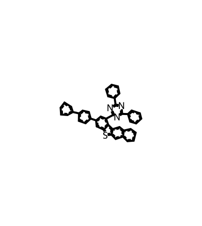 c1ccc(-c2ccc(-c3cc(-c4nc(-c5ccccc5)nc(-c5ccccc5)n4)c4c(c3)sc3cc5ccccc5cc34)cc2)cc1